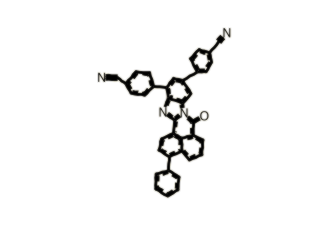 N#Cc1ccc(-c2cc(-c3ccc(C#N)cc3)c3nc4c5ccc(-c6ccccc6)c6cccc(c(=O)n4c3c2)c65)cc1